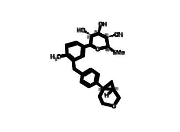 CS[C@H]1OC(c2ccc(C)c(Cc3ccc([C@]45CCOC[C@H]4C5)cc3)c2)[C@H](O)[C@@H](O)[C@@H]1O